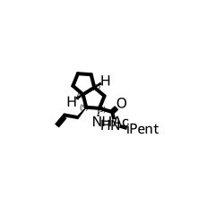 C=CC[C@H]1[C@@H]2CCC[C@@H]2C[C@@]1(NC(C)=O)C(=O)NC(C)CCC